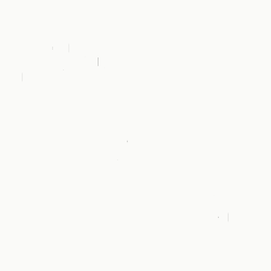 CC(C)c1ccc(CC(=O)Cc2ccc(C(C)(C)C)cc2)cc1